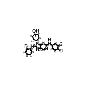 O[C@H]1CC[C@H](n2c(Nc3ccccc3F)nc3cnc(Nc4ccc(Cl)c(Cl)c4)nc32)CC1